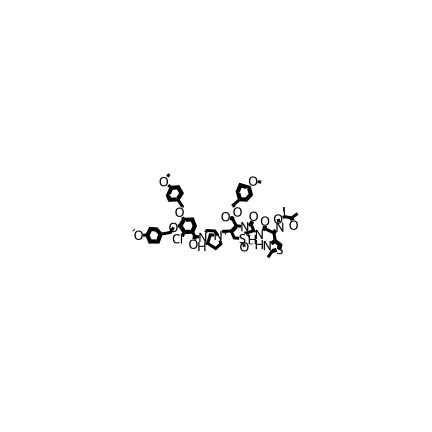 COc1ccc(COC(=O)C2=C(C[N@@+]34CC[C@@H](C3)N(C(=O)c3ccc(OCc5ccc(OC)cc5)c(OCc5ccc(OC)cc5)c3Cl)CC4)C[S+]([O-])[C@@H]3[C@H](NC(=O)/C(=N\O[C@@H](C)C(C)=O)c4csc(C)n4)C(=O)N23)cc1